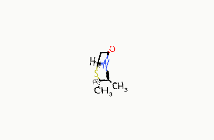 CC1=CN2C(=O)C[C@@H]2S[C@H]1C